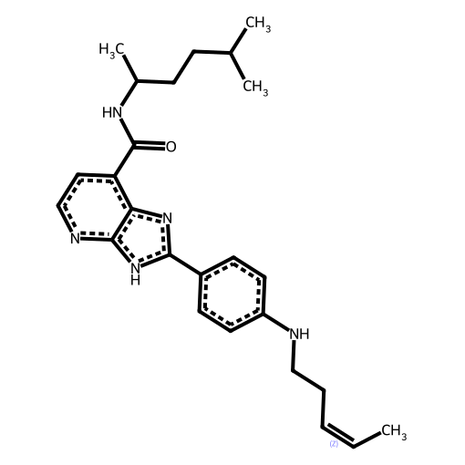 C/C=C\CCNc1ccc(-c2nc3c(C(=O)NC(C)CCC(C)C)ccnc3[nH]2)cc1